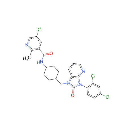 Cc1ncc(Cl)cc1C(=O)NC1CCC(Cn2c(=O)n(-c3ccc(Cl)cc3Cl)c3ncccc32)CC1